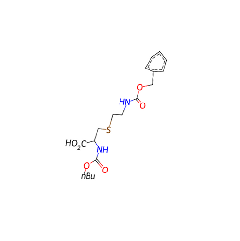 CCCCOC(=O)NC(CSCCNC(=O)OCc1ccccc1)C(=O)O